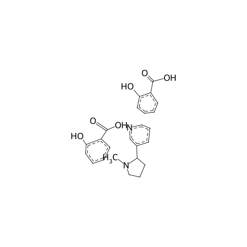 CN1CCCC1c1cccnc1.O=C(O)c1ccccc1O.O=C(O)c1ccccc1O